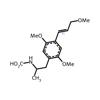 COC/C=C/c1cc(OC)c(CC(C)NC(=O)O)cc1OC